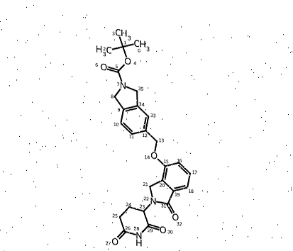 CC(C)(C)OC(=O)N1Cc2ccc(COc3cccc4c3CN(C3CCC(=O)NC3=O)C4=O)cc2C1